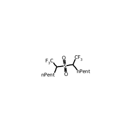 CCCCCC(C(F)(F)F)S(=O)(=O)C(CCCCC)C(F)(F)F